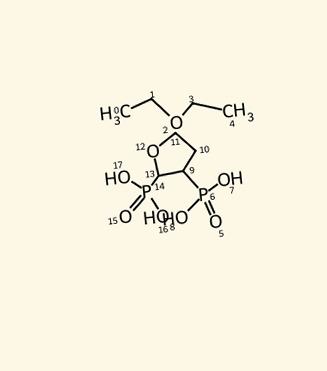 CCOCC.O=P(O)(O)C1CCOC1P(=O)(O)O